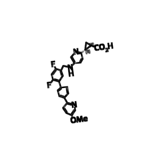 COc1ccc(-c2ccc(-c3cc(CNc4ccc([C@@H]5C[C@H]5C(=O)O)nc4)c(F)cc3F)cc2)nc1